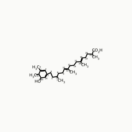 CC1=CC(CCC(C)CC/C=C(\C)CCC/C(C)=C/CCC(C)C(=O)O)=CC(O)C1C